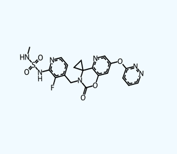 CNS(=O)(=O)Nc1nccc(CN2C(=O)Oc3cc(Oc4cccnn4)cnc3C23CC3)c1F